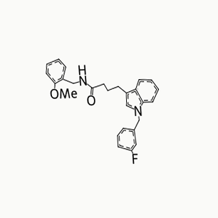 COc1ccccc1CNC(=O)CCCc1cn(Cc2cccc(F)c2)c2ccccc12